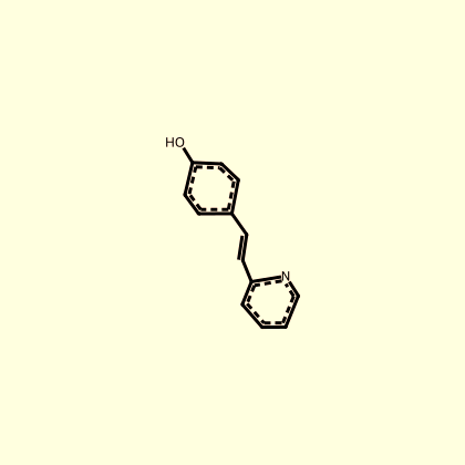 Oc1ccc(C=Cc2ccccn2)cc1